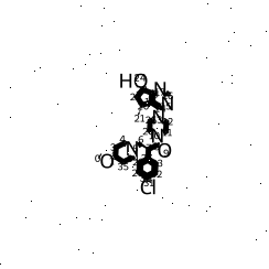 COC1CCN(C[C@@H](C(=O)N2CCN(c3ncnc4c3[C@H](C)C[C@H]4O)CC2)c2ccc(Cl)cc2)CC1